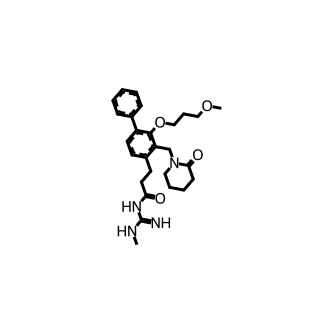 CNC(=N)NC(=O)CCc1ccc(-c2ccccc2)c(OCCCOC)c1CN1CCCCC1=O